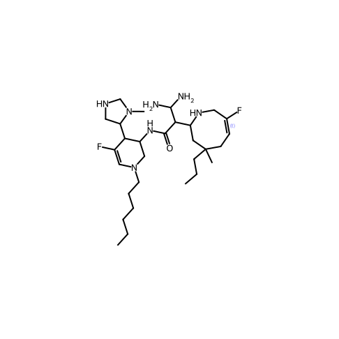 CCCCCCN1C=C(F)C(C2CNCN2C)C(NC(=O)C(C(N)N)C2CC(C)(CCC)C/C=C(/F)CN2)C1